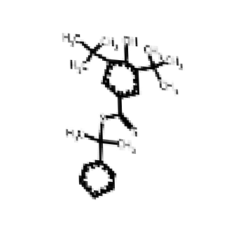 CC(C)(C)c1cc(C(=S)SC(C)(C)c2ccccc2)cc(C(C)(C)C)c1O